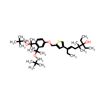 CCC(=CCC(C)(C)C(O)(CC)CC)c1csc(COc2ccc(C(C)(C)O[SiH2]C(C)(C)C)c(C(C)(C)O[SiH2]C(C)(C)C)c2)c1